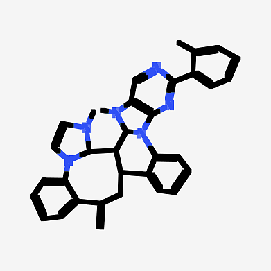 C=C1CC2c3ccccc3N3c4nc(-c5ccccc5C)ncc4N(C)C3C2C2N(C)C=CN2c2ccccc21